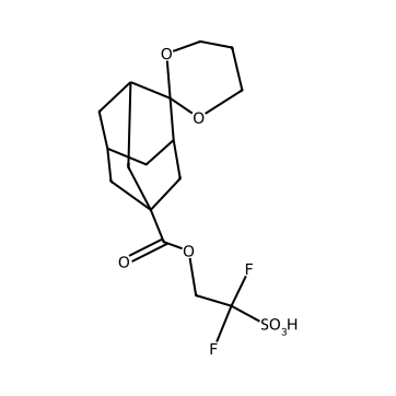 O=C(OCC(F)(F)S(=O)(=O)O)C12CC3CC(C1)C1(OCCCO1)C(C3)C2